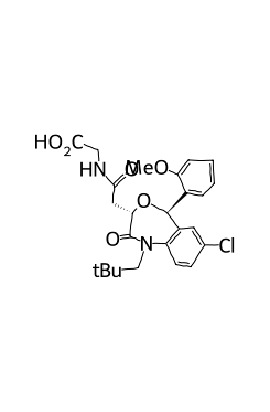 COc1ccccc1[C@@H]1O[C@@H](CC(=O)NCC(=O)O)C(=O)N(CC(C)(C)C)c2ccc(Cl)cc21